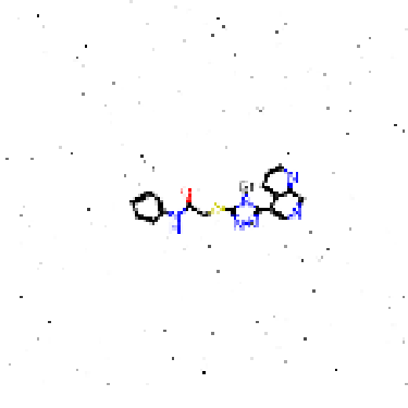 CCn1c(SCC(=O)Nc2ccccc2)nnc1-c1cncc2ncccc12